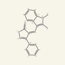 Cc1c(C=C2C(=O)ON=C2c2ccccc2)c2ccccc2n1C